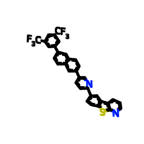 FC(F)(F)c1cc(-c2ccc3cc(-c4ccc(-c5ccc6sc7ncccc7c6c5)nc4)ccc3c2)cc(C(F)(F)F)c1